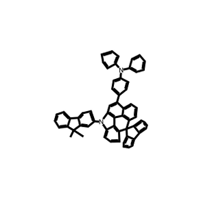 CC1(C)c2ccccc2-c2ccc(-n3c4cccc5c4c4c6c(cccc6c(-c6ccc(N(c7ccccc7)c7ccccc7)cc6)cc43)C53c4ccccc4-c4ccccc43)cc21